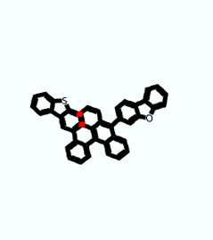 c1ccc(-c2c3ccccc3c(-c3ccc4c(c3)oc3ccccc34)c3ccccc23)c(-c2ccc3sc4ccccc4c3c2)c1